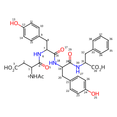 CC(=O)NC(CC(=O)O)C(=O)NC(Cc1ccc(O)cc1)C(=O)NC(Cc1ccc(O)cc1)C(=O)NC(Cc1ccccc1)C(=O)O